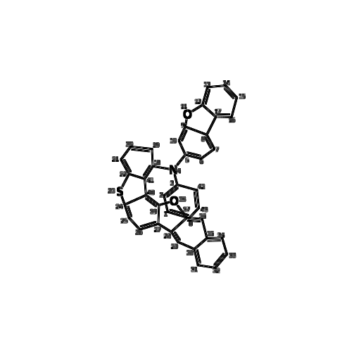 c1ccc(N(c2ccc3c(c2)oc2ccccc23)c2cccc3sc4ccc5c6cc7ccccc7cc6oc5c4c23)cc1